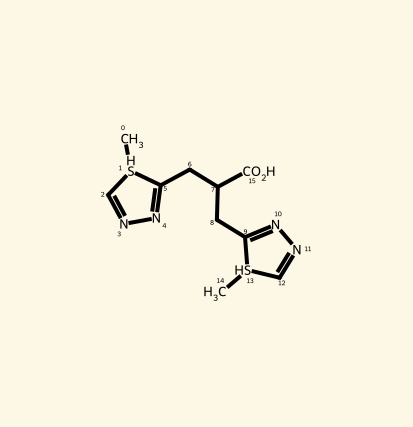 C[SH]1C=NN=C1CC(CC1=NN=C[SH]1C)C(=O)O